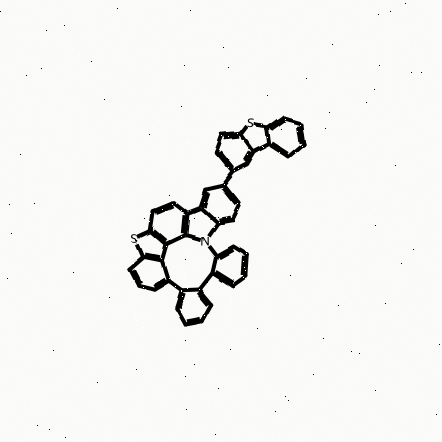 c1ccc2c(c1)sc1ccc(-c3ccc4c(c3)c3ccc5sc6cccc7c8ccccc8c8ccccc8n4c3c5c67)cc12